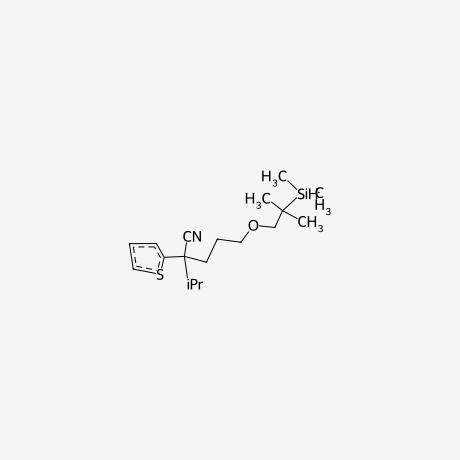 CC(C)C(C#N)(CCCOCC(C)(C)[SiH](C)C)c1cccs1